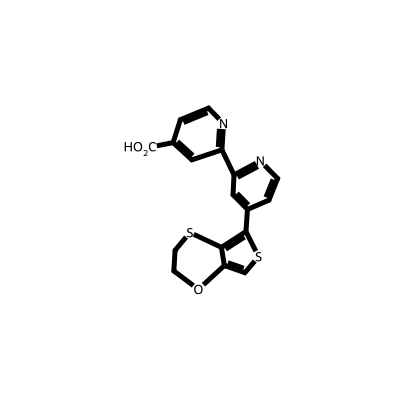 O=C(O)c1ccnc(-c2cc(-c3scc4c3SCCO4)ccn2)c1